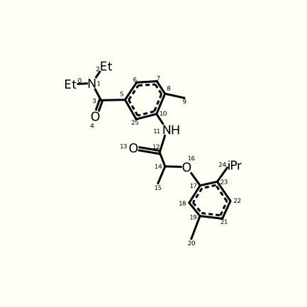 CCN(CC)C(=O)c1ccc(C)c(NC(=O)C(C)Oc2cc(C)ccc2C(C)C)c1